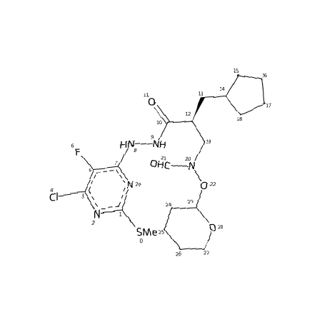 CSc1nc(Cl)c(F)c(NNC(=O)[C@@H](CC2CCCC2)CN(C=O)OC2CCCCO2)n1